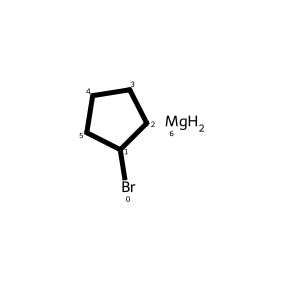 BrC1CCCC1.[MgH2]